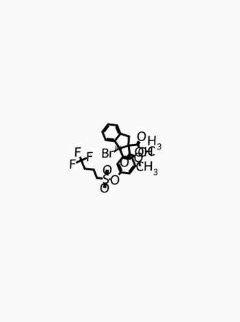 COC(=O)C1(C(=O)OC)Cc2ccccc2[C@@]1(Br)c1cc(OS(=O)(=O)CCCC(F)(F)F)ccc1O